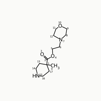 CC1(C(=O)OCCN2CCOCC2)CCNCC1